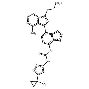 Nc1ncnc2c1c(-c1ccc(NC(=O)Nc3cc(C4(C(F)(F)F)CC4)on3)c3nccn13)cn2CCC(=O)O